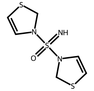 N=S(=O)(N1C=CSC1)N1C=CSC1